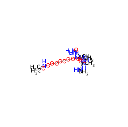 BNCCCC[C@H](NC(C)=O)C(=O)NC(C(=O)N[C@@H](CCCNC(N)=O)C(=O)NCCOCCOCCOCCOCCOCCOCCOCCNC(=O)CC(C)CC)C(C)C